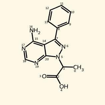 CC(C(=O)O)n1nc(-c2ccccc2)c2c(N)ncnc21